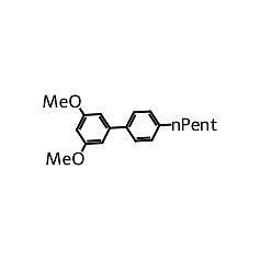 CCCCCc1ccc(-c2cc(OC)cc(OC)c2)cc1